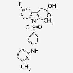 Cc1cccc(Nc2ccc(S(=O)(=O)n3c(C)c(CC(=O)O)c4cc(F)ccc43)cc2)n1